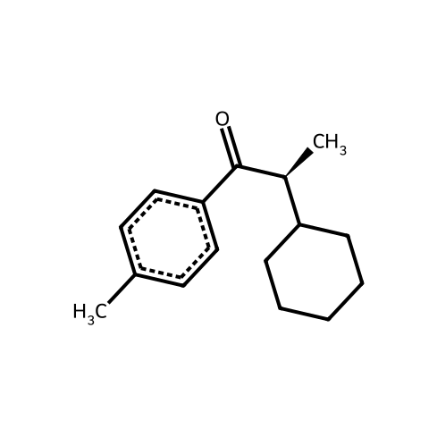 Cc1ccc(C(=O)[C@@H](C)C2CCCCC2)cc1